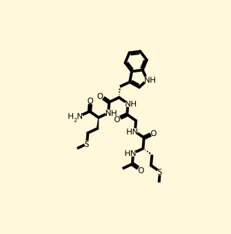 CSCC[C@H](NC(=O)[C@H](Cc1c[nH]c2ccccc12)NC(=O)CNC(=O)[C@H](CCSC)NC(C)=O)C(N)=O